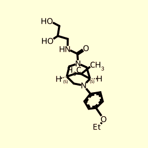 CCOc1ccc(N2C[C@H]3CN(C(=O)NCC(O)CO)C[C@@H]2C(C)(C)C3)cc1